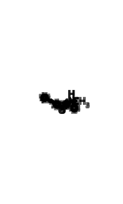 C[C@H](NC1CCN(C(=O)c2ccc(C#Cc3ccccc3)cc2)CC1)C1CCCCC1